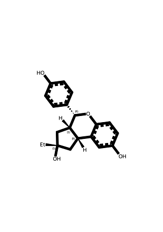 CC[C@@]1(O)C[C@H]2[C@@H](C1)c1cc(O)ccc1O[C@H]2c1ccc(O)cc1